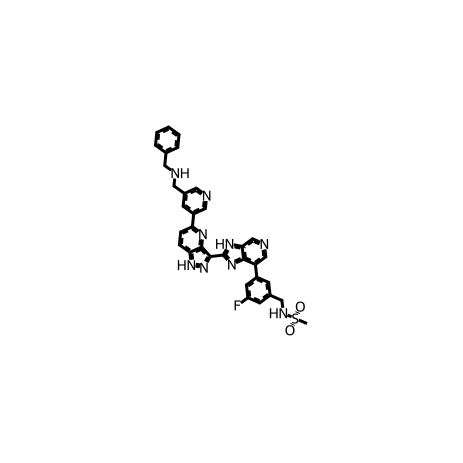 CS(=O)(=O)NCc1cc(F)cc(-c2cncc3[nH]c(-c4n[nH]c5ccc(-c6cncc(CNCc7ccccc7)c6)nc45)nc23)c1